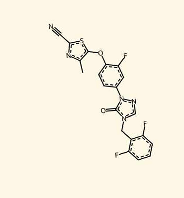 Cc1nc(C#N)sc1Oc1ccc(-n2ncn(Cc3c(F)cccc3F)c2=O)cc1F